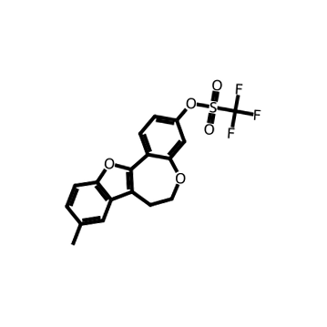 Cc1ccc2oc3c(c2c1)CCOc1cc(OS(=O)(=O)C(F)(F)F)ccc1-3